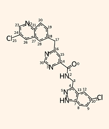 O=C(NCc1n[nH]c2ccc(Cl)cc12)c1cc(Cc2ccc3ncc(Cl)cc3c2)ncn1